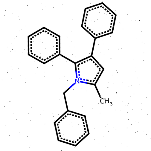 Cc1cc(-c2ccccc2)c(-c2ccccc2)n1Cc1ccccc1